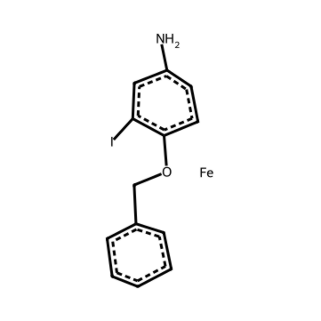 Nc1ccc(OCc2ccccc2)c(I)c1.[Fe]